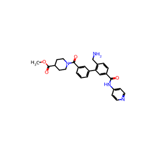 COC(=O)C1CCN(C(=O)c2cccc(-c3cc(C(=O)Nc4ccncc4)ccc3CN)c2)CC1